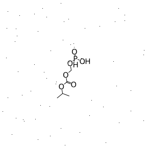 CC(C)OC(=O)OCO[PH](=O)O